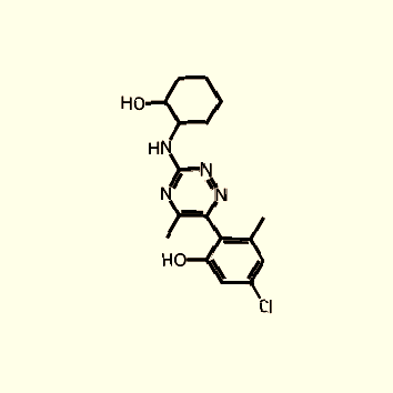 Cc1cc(Cl)cc(O)c1-c1nnc(NC2CCCCC2O)nc1C